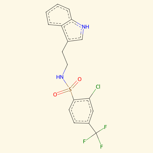 O=S(=O)(NCCc1c[nH]c2ccccc12)c1ccc(C(F)(F)F)cc1Cl